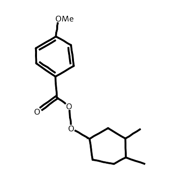 COc1ccc(C(=O)OO[C]2CCC(C)C(C)C2)cc1